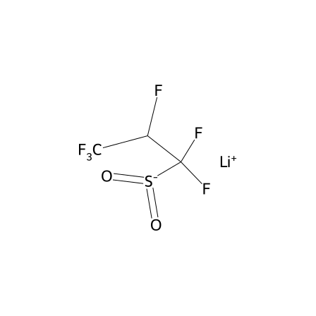 O=[S-](=O)C(F)(F)C(F)C(F)(F)F.[Li+]